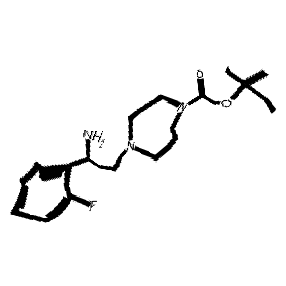 CC(C)(C)OC(=O)N1CCN(CC(N)c2ccccc2F)CC1